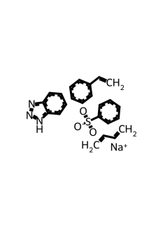 C=CC=C.C=Cc1ccccc1.O=S(=O)([O-])c1ccccc1.[Na+].c1ccc2[nH]nnc2c1